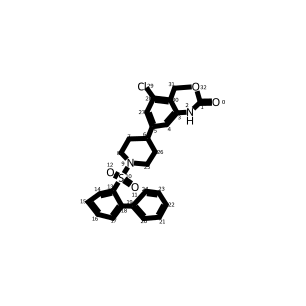 O=C1Nc2cc(C3CCN(S(=O)(=O)c4ccccc4-c4ccccc4)CC3)cc(Cl)c2CO1